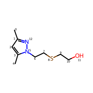 Cc1cc(C)n(CCSCCO)n1